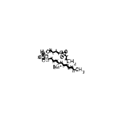 C=CCS(=O)(=O)OCCCCC.CCCCCCCCCCCCOS(=O)(=O)[O-].[Na+]